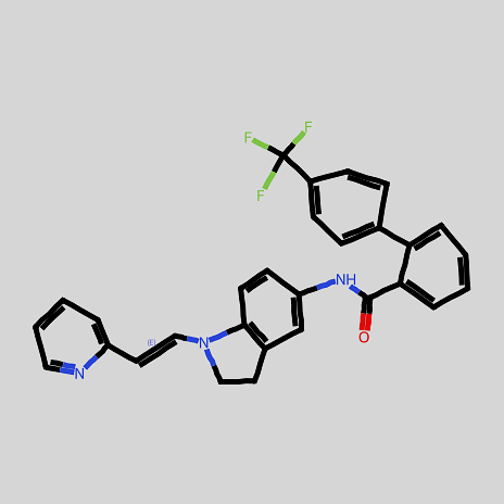 O=C(Nc1ccc2c(c1)CCN2/C=C/c1ccccn1)c1ccccc1-c1ccc(C(F)(F)F)cc1